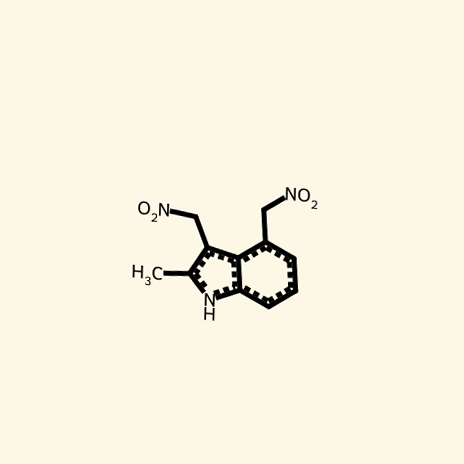 Cc1[nH]c2cccc(C[N+](=O)[O-])c2c1C[N+](=O)[O-]